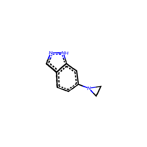 c1cc2cn[nH]c2cc1N1CC1